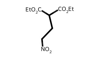 CCOC(=O)C(CC[N+](=O)[O-])C(=O)OCC